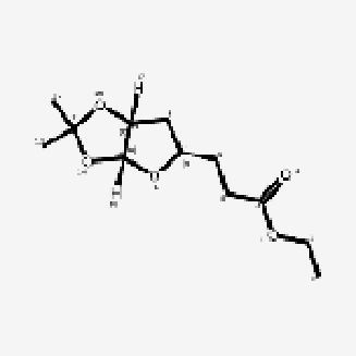 CCOC(=O)CC[C@@H]1C[C@H]2OC(C)(C)O[C@H]2O1